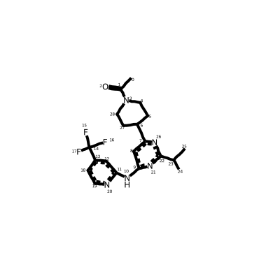 CC(=O)N1CCC(c2cc(Nc3cc(C(F)(F)F)ccn3)nc(C(C)C)n2)CC1